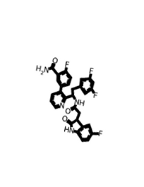 NC(=O)c1cc(-c2cccnc2C(Cc2cc(F)cc(F)c2)NC(=O)CC2C(=O)Nc3ccc(F)cc32)ccc1F